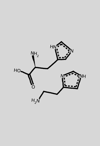 NCCc1c[nH]cn1.N[C@@H](Cc1cnc[nH]1)C(=O)O